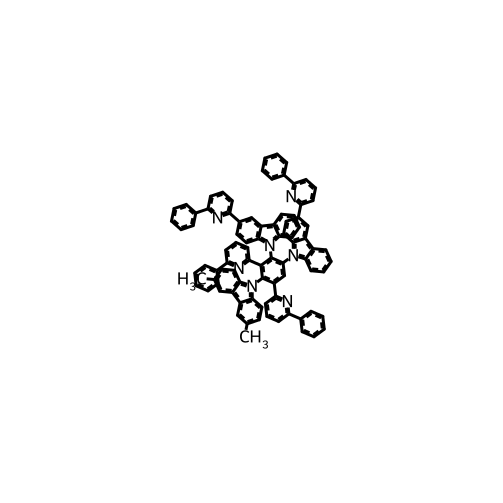 Cc1ccc2c(c1)c1cc(C)ccc1n2-c1c(-c2cccc(-c3ccccc3)n2)cc(-n2c3ccccc3c3cc(-c4cccc(-c5ccccc5)n4)ccc32)c(-n2c3ccccc3c3cc(-c4cccc(-c5ccccc5)n4)ccc32)c1-c1cccc(-c2ccccc2)n1